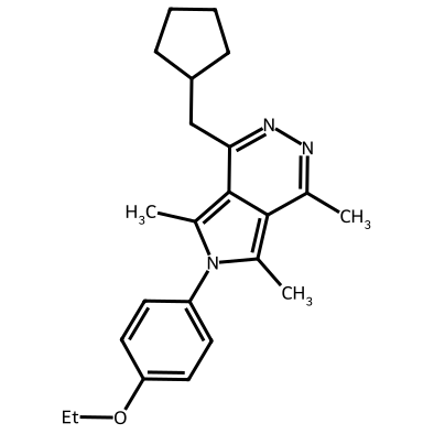 CCOc1ccc(-n2c(C)c3c(C)nnc(CC4CCCC4)c3c2C)cc1